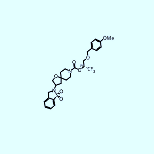 COc1ccc(COC[C@@H](OC(=O)N2CCC3(CC2)CC(N2Cc4ccccc4S2(=O)=O)CO3)C(F)(F)F)cc1